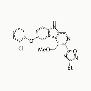 CCc1noc(-c2ncc3[nH]c4ccc(Oc5ccccc5Cl)cc4c3c2COC)n1